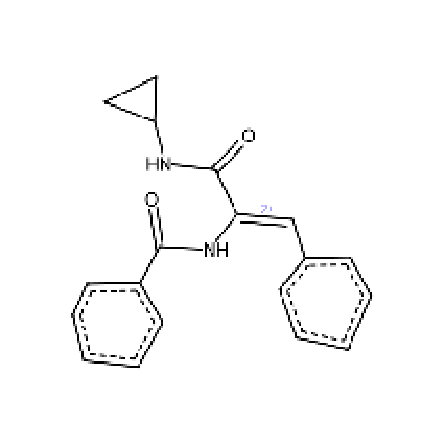 O=C(NC1CC1)/C(=C/c1ccccc1)NC(=O)c1ccccc1